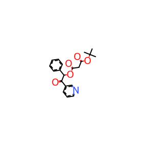 CC(C)(C)OC(=O)CC(=O)OC(C(=O)c1cccnc1)c1ccccc1